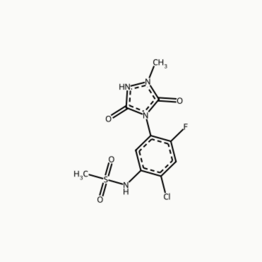 Cn1[nH]c(=O)n(-c2cc(NS(C)(=O)=O)c(Cl)cc2F)c1=O